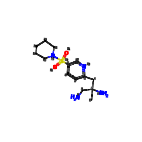 CC(N)(CN)Cc1ccc(S(=O)(=O)N2CCCCC2)cn1